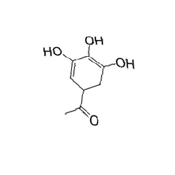 CC(=O)C1C=C(O)C(O)=C(O)C1